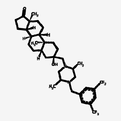 CC1CN(C[C@@]2(O)CC[C@@]3(C)[C@@H](CC[C@@H]4[C@@H]3CC[C@]3(C)C(=O)CC[C@@H]43)C2)C(C)CN1Cc1cc(C(F)(F)F)cc(C(F)(F)F)c1